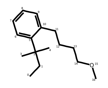 CCC(C)(C)c1ccccc1CCCCOC